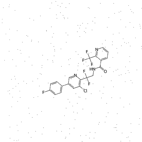 O=C(NCC(F)(F)c1ncc(-c2ccc(F)cc2)cc1Cl)c1cccnc1C(F)(F)F